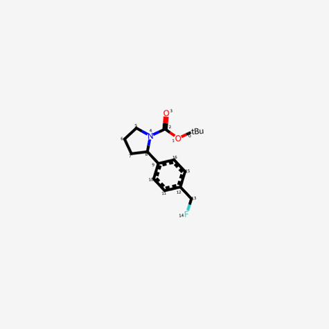 CC(C)(C)OC(=O)N1CCCC1c1ccc(CF)cc1